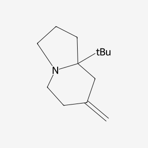 C=C1CCN2CCCC2(C(C)(C)C)C1